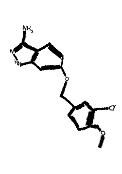 COc1ccc(COc2ccc3c(N)n[nH]c3c2)cc1Cl